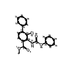 COC(=O)c1ccc(-c2ccccc2)c(Cl)c1NC(=O)Oc1ccccc1